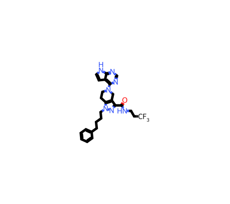 O=C(NCCC(F)(F)F)c1nn(CCCCc2ccccc2)c2c1CN(c1ncnc3[nH]ccc13)CC2